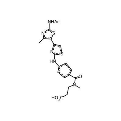 CC(=O)Nc1nc(C)c(-c2csc(Nc3ccc(C(=O)N(C)CCC(=O)O)cc3)n2)s1